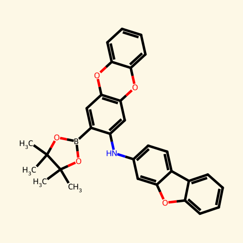 CC1(C)OB(c2cc3c(cc2Nc2ccc4c(c2)oc2ccccc24)Oc2ccccc2O3)OC1(C)C